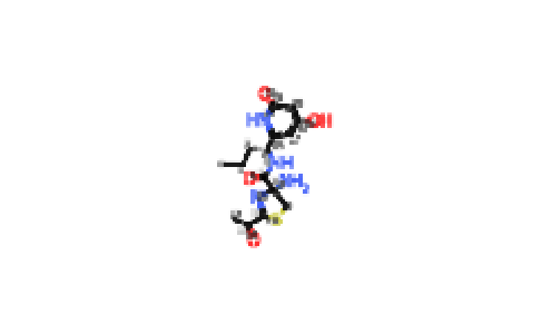 CCC[C@@H](NC(=O)[C@]1(N)CSC(C(C)=O)=N1)c1cc(O)cc(=O)[nH]1